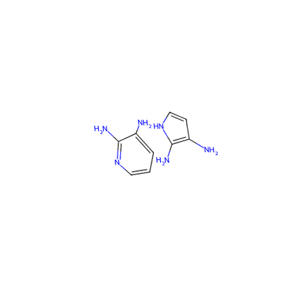 Nc1cc[nH]c1N.Nc1cccnc1N